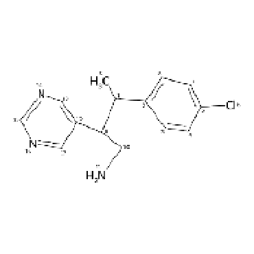 CC(c1ccc(Cl)cc1)C(CN)c1cncnc1